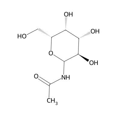 CC(=O)NC1O[C@H](CO)[C@H](O)[C@H](O)[C@H]1O